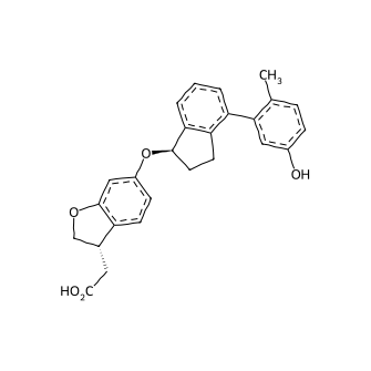 Cc1ccc(O)cc1-c1cccc2c1CC[C@H]2Oc1ccc2c(c1)OC[C@H]2CC(=O)O